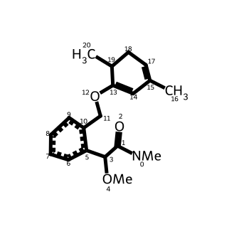 CNC(=O)C(OC)c1ccccc1COC1=CC(C)=CCC1C